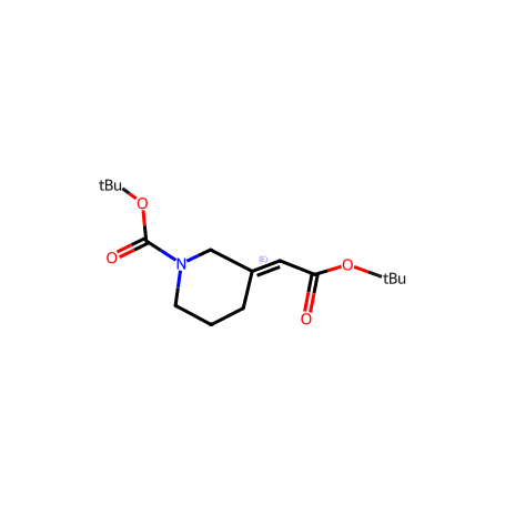 CC(C)(C)OC(=O)/C=C1\CCCN(C(=O)OC(C)(C)C)C1